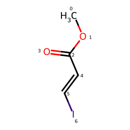 COC(=O)/C=C/I